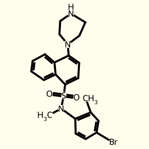 Cc1cc(Br)ccc1N(C)S(=O)(=O)c1ccc(N2CCNCC2)c2ccccc12